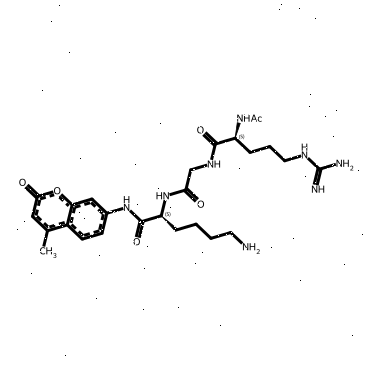 CC(=O)N[C@@H](CCCNC(=N)N)C(=O)NCC(=O)N[C@@H](CCCCN)C(=O)Nc1ccc2c(C)cc(=O)oc2c1